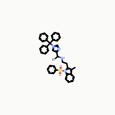 CCC(NCCc1c(C)c2ccccc2n1S(=O)(=O)c1ccccc1)c1cn(C(c2ccccc2)(c2ccccc2)c2ccccc2)cn1